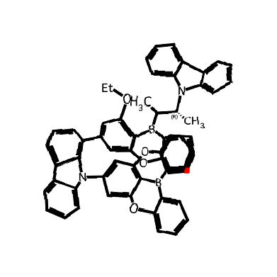 CCOc1cc(-c2cccc3c4ccccc4n(-c4cc5c6c(c4)Oc4ccccc4B6c4ccccc4O5)c23)cc2c1B(C(C)[C@@H](C)n1c3ccccc3c3ccccc31)c1ccccc1O2